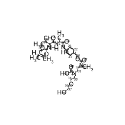 CC(NC(=O)C(NC(=O)OC(C)(C)C)C(C)C)C(=O)Nc1ccc(COC(=O)N(C)CCN(CCOCCO)C(=O)O)cc1